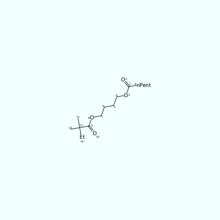 CCCCCC(=O)OCCCCOC(=O)C(C)(C)CC